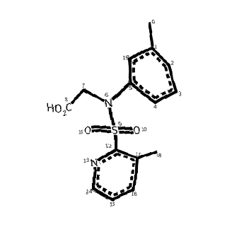 Cc1cccc(N(CC(=O)O)S(=O)(=O)c2ncccc2C)c1